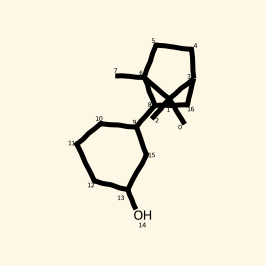 CC1(C)C2CCC1(C)C(C1CCCC(O)C1)C2